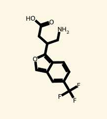 NCC(CC(=O)O)c1occ2cc(C(F)(F)F)ccc12